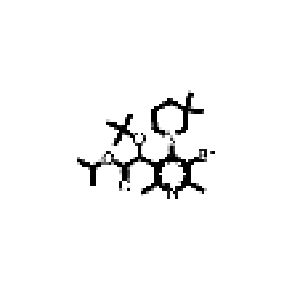 Cc1nc(C)c(C(OC(C)(C)C)C(=O)OC(C)C)c(N2CCCC(C)(C)C2)c1Br